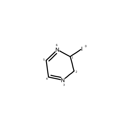 IC1CN=CC=N1